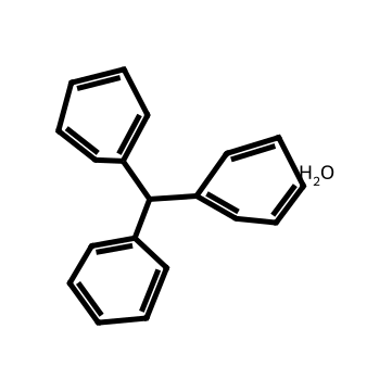 O.c1ccc(C(c2ccccc2)c2ccccc2)cc1